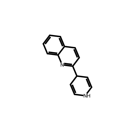 C1=CC(c2ccc3ccccc3n2)C=CN1